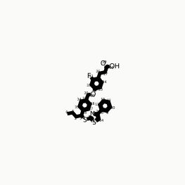 CCCC(Sc1nc(-c2ccccc2)cs1)c1ccc(COc2ccc(CCC(=O)O)c(F)c2)cc1